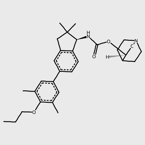 CCCOc1c(C)cc(-c2ccc3c(c2)CC(C)(C)[C@H]3NC(=O)O[C@H]2CN3CCC2CC3)cc1C